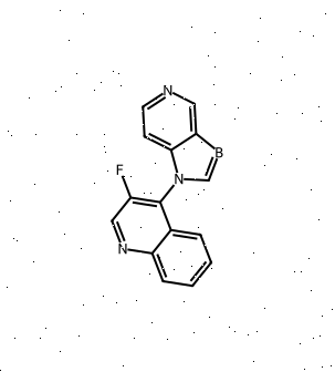 Fc1cnc2ccccc2c1-n1cbc2cnccc21